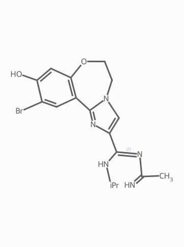 CC(=N)/N=C(\NC(C)C)c1cn2c(n1)-c1cc(Br)c(O)cc1OCC2